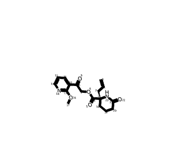 C=CC[C@]1(C(=O)OCC(=O)c2cccnc2OC)CCCC(=O)N1